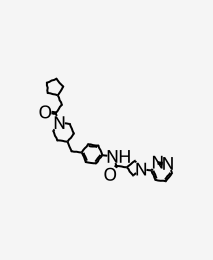 O=C(Nc1ccc(CC2CCN(C(=O)CC3CCCC3)CC2)cc1)C1CN(c2cccnn2)C1